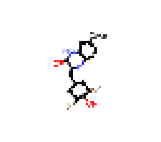 COc1ccc2c(c1)NC(=O)/C(=C/c1cc(Br)c(O)c(Br)c1)N2